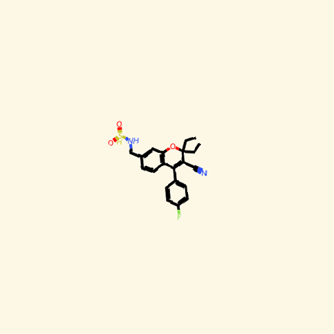 CCC1(CC)Oc2cc(CN[SH](=O)=O)ccc2C(c2ccc(F)cc2)=C1C#N